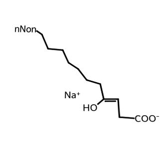 CCCCCCCCCCCCCCCCC(O)=CCC(=O)[O-].[Na+]